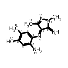 Cc1cc(N=C2C(=N)N(C)N=C2C(F)(F)F)c(N)cc1O